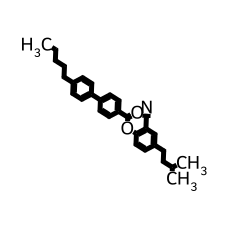 CCCCCc1ccc(-c2ccc(C(=O)Oc3ccc(CCC(C)C)cc3C#N)cc2)cc1